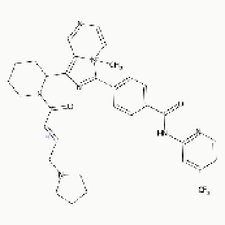 C[N+]12C=CN=CC1=C(C1CCCCN1C(=O)/C=C/CN1CCCC1)N=C2c1ccc(C(=O)Nc2cc(C(F)(F)F)ccn2)cc1